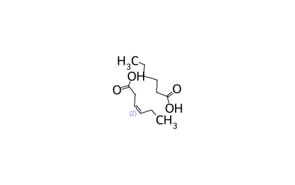 CC/C=C\CC(=O)O.CCCCCC(=O)O